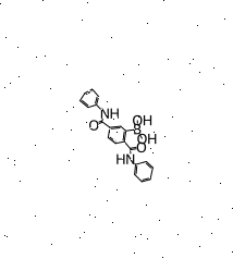 O=C(Nc1ccccc1)c1ccc(C(=O)Nc2ccccc2)c(B(O)O)c1